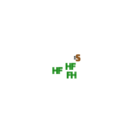 F.F.F.[S]